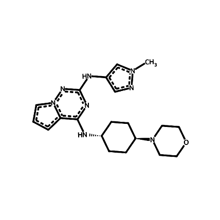 Cn1cc(Nc2nc(N[C@H]3CC[C@H](N4CCOCC4)CC3)c3cccn3n2)cn1